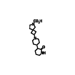 O=C1NCCCC1C1CCN(C2CC3(CCN(C(=O)O)C3)C2)CC1